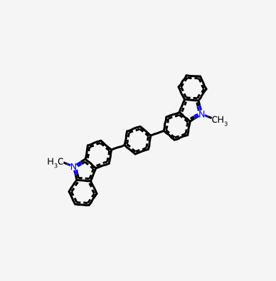 Cn1c2ccccc2c2cc(-c3ccc(-c4ccc5c(c4)c4ccccc4n5C)cc3)ccc21